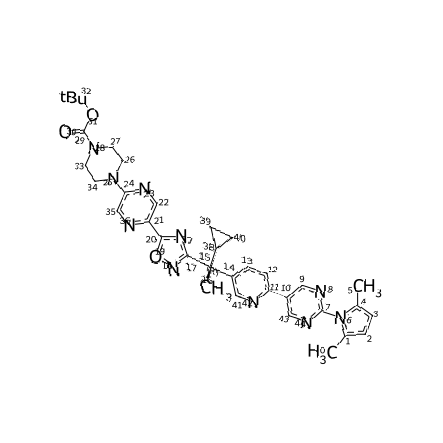 Cc1ccc(C)n1-c1ncc(-c2ccc([C@](C)(c3noc(-c4cnc(N5CCN(C(=O)OC(C)(C)C)CC5)cn4)n3)C3CC3)cn2)cn1